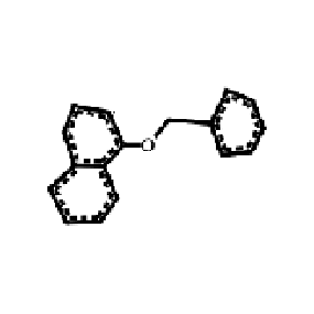 [c]1ccc2ccccc2c1OCc1ccccc1